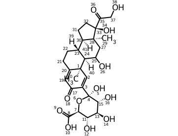 C[C@]12C=C([C@]3(O)O[C@H](C(=O)O)[C@@H](O)[C@H](O)[C@H]3O)C(=O)C=C1CC[C@H]1[C@H]2C(O)C[C@@]2(C)[C@@H]1CC[C@]2(O)C(=O)CO